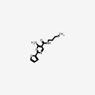 COCCCNC(=O)c1cnc(-c2ccco2)nc1N